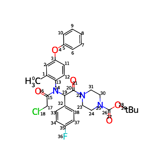 Cc1cc(Oc2ccccc2)ccc1N(C(=O)CCl)C(C(=O)N1CCN(C(=O)OC(C)(C)C)CC1)c1ccc(F)cc1